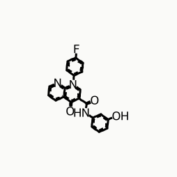 O=C(Nc1cccc(O)c1)c1cn(-c2ccc(F)cc2)c2ncccc2c1=O